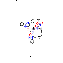 O=C1N[C@]2(C(=O)NS(=O)(=O)C3CC3)C[C@H]2/C=C\CCCCC[C@H](Nc2ccccc2)C(=O)N2C[C@H](Oc3cc(-c4ccccc4)nc4c5ccccc5nn34)C[C@@H]12